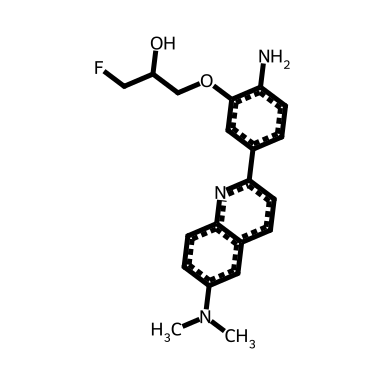 CN(C)c1ccc2nc(-c3ccc(N)c(OCC(O)CF)c3)ccc2c1